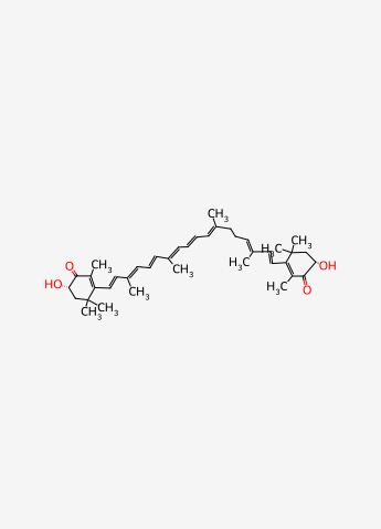 CC1=C(/C=C/C(C)=C/C=C/C(C)=C/C=C/C=C(\C)CC/C=C(C)/C=C/C2=C(C)C(=O)[C@@H](O)CC2(C)C)C(C)(C)C[C@H](O)C1=O